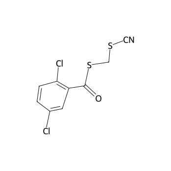 N#CSCSC(=O)c1cc(Cl)ccc1Cl